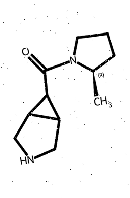 C[C@@H]1CCCN1C(=O)C1C2CNCC21